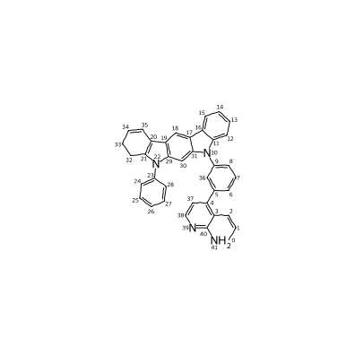 C/C=C\c1c(-c2cccc(-n3c4ccccc4c4cc5c6c(n(-c7ccccc7)c5cc43)CCC=C6)c2)ccnc1N